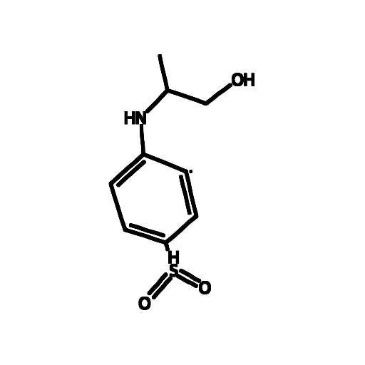 CC(CO)Nc1[c]cc([SH](=O)=O)cc1